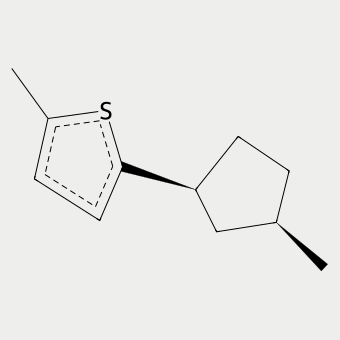 Cc1ccc([C@H]2CC[C@@H](C)C2)s1